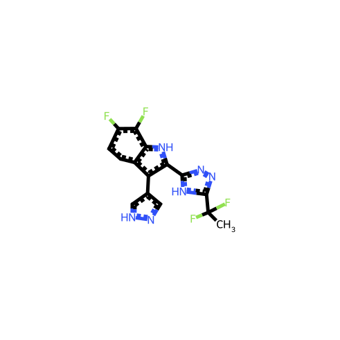 CC(F)(F)c1nnc(-c2[nH]c3c(F)c(F)ccc3c2-c2cn[nH]c2)[nH]1